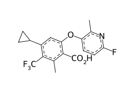 Cc1nc(F)ccc1Oc1cc(C2CC2)c(C(F)(F)F)c(C)c1C(=O)O